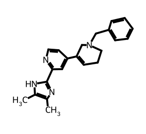 Cc1nc(-c2cc(C3=CCCN(Cc4ccccc4)C3)ccn2)[nH]c1C